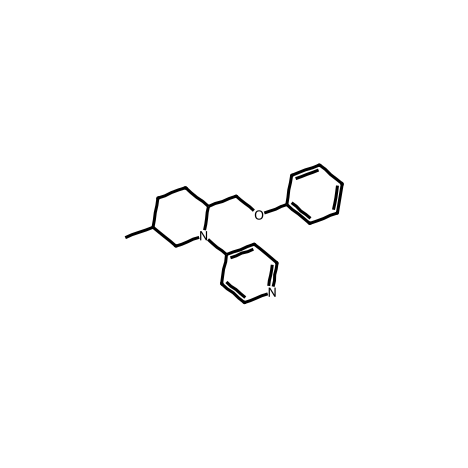 CC1CCC(COc2ccccc2)N(c2ccncc2)C1